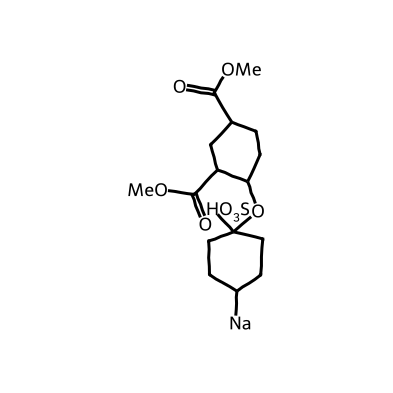 COC(=O)C1CCC(OC2(S(=O)(=O)O)CC[CH]([Na])CC2)C(C(=O)OC)C1